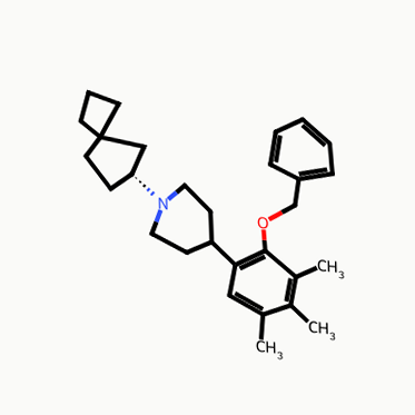 Cc1cc(C2CCN([C@@H]3CCC4(CCC4)C3)CC2)c(OCc2ccccc2)c(C)c1C